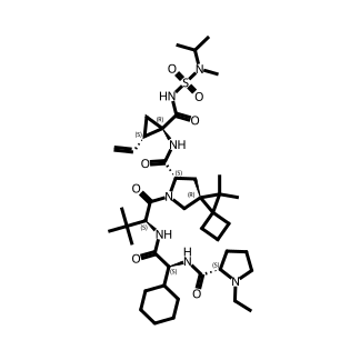 C=C[C@@H]1C[C@]1(NC(=O)[C@@H]1C[C@@]2(CN1C(=O)[C@@H](NC(=O)[C@@H](NC(=O)[C@@H]1CCCN1CC)C1CCCCC1)C(C)(C)C)C(C)(C)C21CCC1)C(=O)NS(=O)(=O)N(C)C(C)C